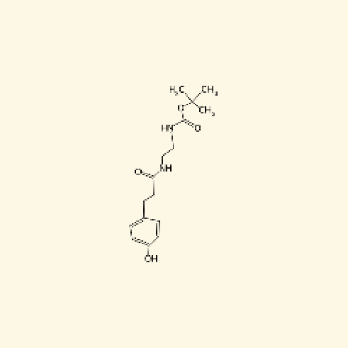 CC(C)(C)OC(=O)NCCNC(=O)CCc1ccc(O)cc1